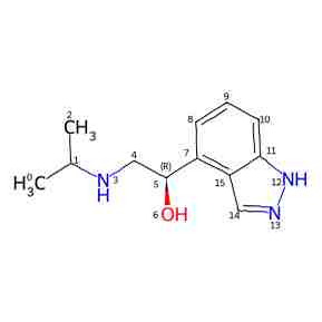 CC(C)NC[C@H](O)c1cccc2[nH]ncc12